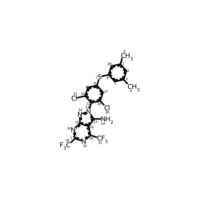 Cc1cc(C)cc(Sc2cc(Cl)c(-n3nc4nc(C(F)(F)F)nc(C(F)(F)F)c4c3N)c(Cl)c2)c1